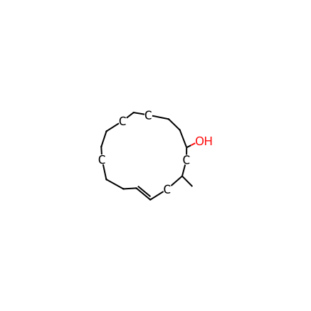 CC1C/C=C/CCCCCCCCCCC(O)C1